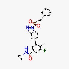 Cc1c(F)cc(C(=O)NC2CC2)cc1-c1ccc2c(cnn2S(=O)(=O)C=Cc2ccccc2)c1